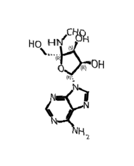 Nc1ncnc2c1ncn2[C@@H]1O[C@@](CO)(NC=O)[C@@H](O)[C@H]1O